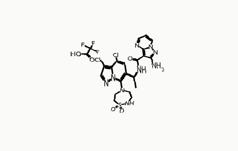 CC(NC(=O)c1c(N)nn2cccnc12)c1cc(Cl)c2c(Cl)cnn2c1N1CCNS(=O)(=O)CC1.O=C(O)C(F)(F)F